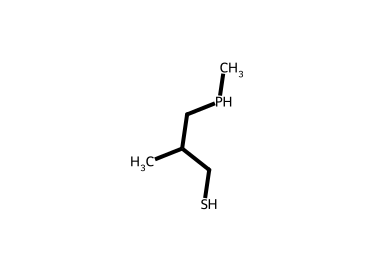 CPCC(C)CS